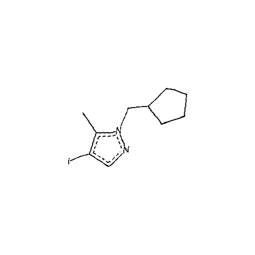 Cc1c(I)cnn1CC1CCCC1